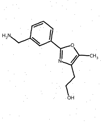 Cc1oc(-c2cccc(CN)c2)nc1CCO